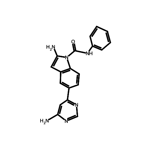 Nc1cc(-c2ccc3c(c2)cc(N)n3C(=O)Nc2ccccc2)ncn1